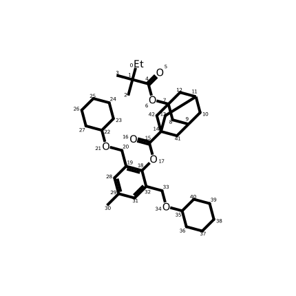 CCC(C)(C)C(=O)OC12CC3CC(C1)CC(C(=O)Oc1c(COC4CCCCC4)cc(C)cc1COC1CCCCC1)(C3)C2